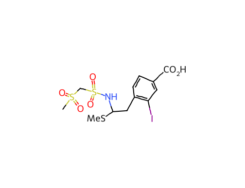 CSC(Cc1ccc(C(=O)O)cc1I)NS(=O)(=O)CS(C)(=O)=O